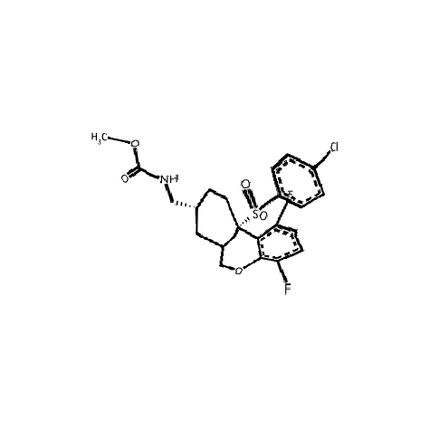 COC(=O)NC[C@@H]1CC[C@@]2(S(=O)(=O)c3ccc(Cl)cc3)c3c(F)ccc(F)c3OCC2C1